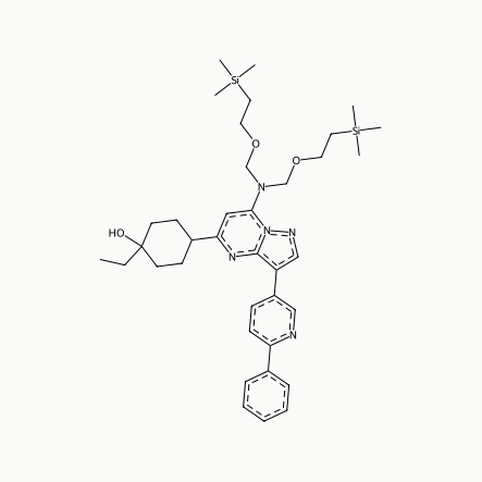 CCC1(O)CCC(c2cc(N(COCC[Si](C)(C)C)COCC[Si](C)(C)C)n3ncc(-c4ccc(-c5ccccc5)nc4)c3n2)CC1